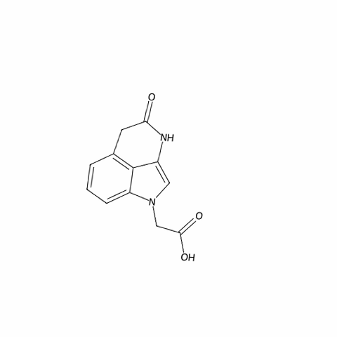 O=C(O)Cn1cc2c3c(cccc31)CC(=O)N2